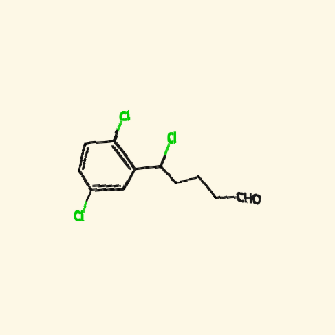 O=CCCCC(Cl)c1cc(Cl)ccc1Cl